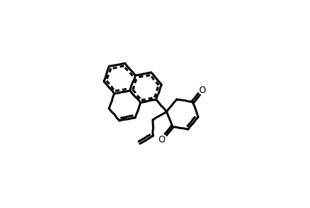 C=CCC1(c2ccc3cccc4c3c2C=CC4)CC(=O)C=CC1=O